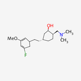 COC1=CC(CC[C@H]2CC[C@H](CN(C)C)[C@H](O)C2)CC(F)=C1